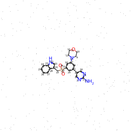 Nc1ncc(-c2cc(N3CCOCC3)cc(S(=O)(=O)Cc3c[nH]c4ccccc34)c2)cn1